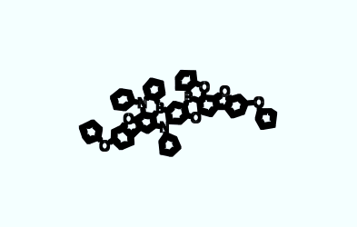 c1ccc(Oc2ccc3c(c2)oc2c4c5c(cc23)Oc2cc3c(cc2B5c2ccccc2O4)B2c4ccccc4N(c4ccccc4)c4c2c(cc2c4oc4cc(Oc5ccccc5)ccc42)N3c2ccccc2)cc1